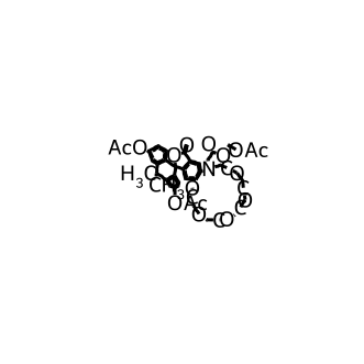 CC(=O)OCOC(=O)CN1CCOCCOCCOCCOCCOc2cc3c(cc21)C(=O)OC31c2ccc(OC(C)=O)cc2C(C)(C)c2cc(OC(C)=O)ccc21